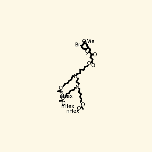 CCCCCCOC(C)OCCCCCCN(CCCCCCOC(=O)CCC(=O)c1cc2cc(OC)c(Br)cc2s1)CCCN(CCCCCCOC(C)OCCCCCC)CCCCCCOC(C)OCCCCCC